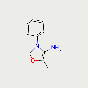 CC1=C(N)N(c2ccccc2)CO1